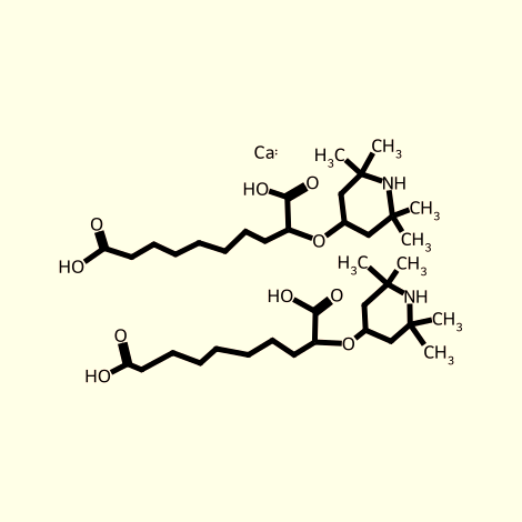 CC1(C)CC(OC(CCCCCCCC(=O)O)C(=O)O)CC(C)(C)N1.CC1(C)CC(OC(CCCCCCCC(=O)O)C(=O)O)CC(C)(C)N1.[Ca]